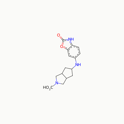 O=C(O)N1CC2CC(Nc3ccc4[nH]c(=O)oc4c3)CC2C1